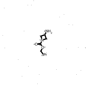 CC(C)COC(=O)N1CC(N)C1